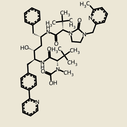 Cc1cccc(CN2CCN([C@H](C(=O)N[C@@H](Cc3ccccc3)C[C@@H](O)[C@H](Cc3ccc(-c4ccccn4)cc3)NC(=O)[C@@H](N(C)C(=O)O)C(C)(C)C)C(C)(C)C)C2=O)n1